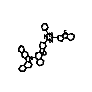 c1ccc(-c2nc(-c3ccc4c(c3)oc3c5ccccc5c(-n5c6cc7ccccc7cc6c6c7ccccc7ccc65)cc43)nc(-c3ccc4c(c3)sc3ccccc34)n2)cc1